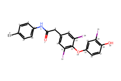 CCc1ccc(NC(=O)Cc2cc(I)c(Oc3ccc(O)c(I)c3)c(I)c2)cc1